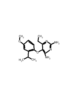 CCc1nc(N)nc(N)c1Oc1ccc(OC)cc1C(C)C